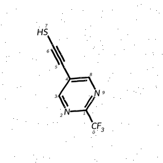 FC(F)(F)c1ncc(C#CS)cn1